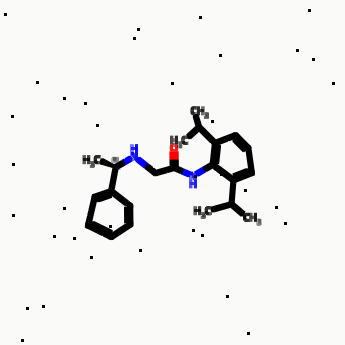 CC(C)c1cccc(C(C)C)c1NC(=O)CN[C@H](C)c1ccccc1